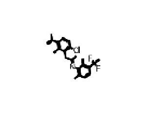 C=C(C)c1ccc(Cl)c(C/C(C)=N/c2c(C)ccc(C(C)(F)F)c2C)c1C